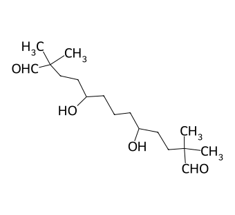 CC(C)(C=O)CCC(O)CCCC(O)CCC(C)(C)C=O